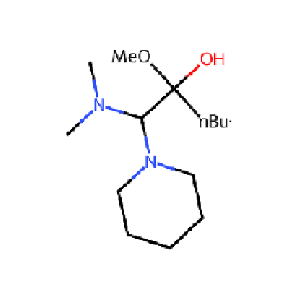 CCC[CH]C(O)(OC)C(N(C)C)N1CCCCC1